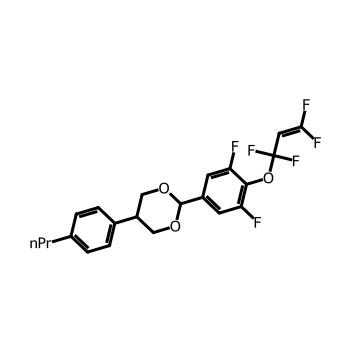 CCCc1ccc(C2COC(c3cc(F)c(OC(F)(F)C=C(F)F)c(F)c3)OC2)cc1